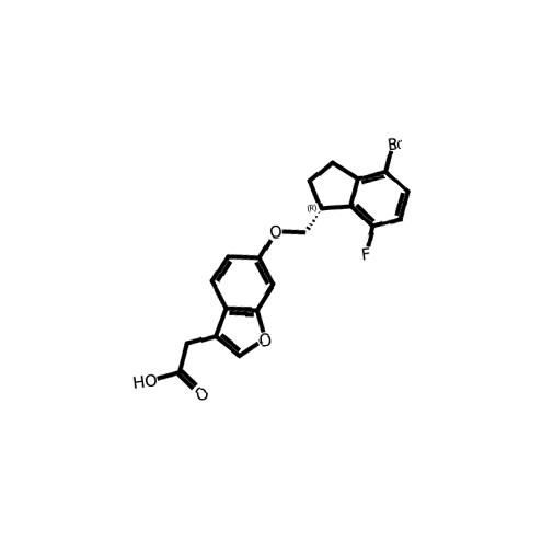 O=C(O)Cc1coc2cc(OC[C@@H]3CCc4c(Br)ccc(F)c43)ccc12